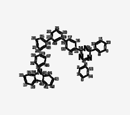 c1ccc(-c2nc(-c3ccccc3)nc(-c3ccc(-c4cccc(-c5cccc(-c6ccc(-n7c8ccccc8c8ccccc87)cc6)c5)c4)cc3)n2)cc1